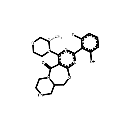 C[C@H]1COCCN1c1nc(-c2c(O)cccc2F)nc2c1C(=O)N1CCNCC1CO2